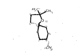 CC1(C)CC[C@]2(CC[C@@H](C)CC2)O1